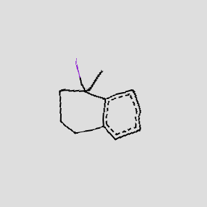 CC1(I)CCCc2ccccc21